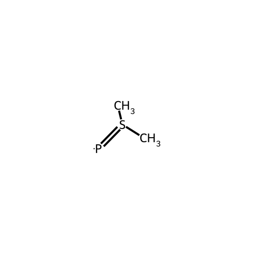 CS(C)=[P]